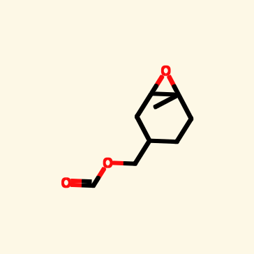 CC12CCC(COC=O)CC1O2